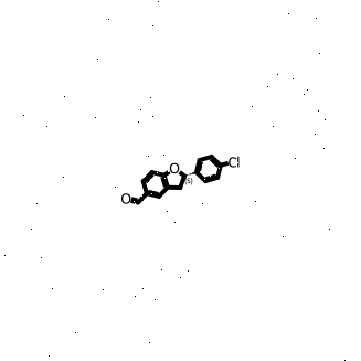 O=Cc1ccc2c(c1)C[C@@H](c1ccc(Cl)cc1)O2